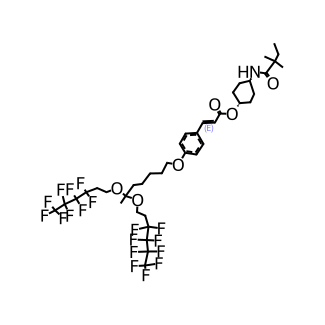 CCC(C)(C)C(=O)N[C@H]1CC[C@H](OC(=O)/C=C/c2ccc(OCCCCCC(C)(OCCC(F)(F)C(F)(F)C(F)(F)C(F)(F)F)OCCC(F)(F)C(F)(F)C(F)(F)C(F)(F)F)cc2)CC1